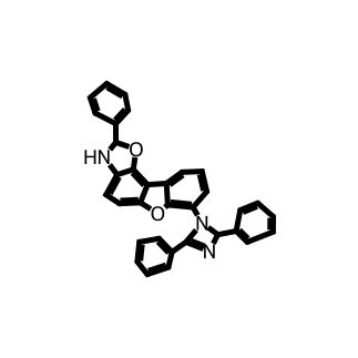 c1ccc(C2=NC(c3ccccc3)N2c2cccc3c2oc2ccc4c(c23)OC(c2ccccc2)N4)cc1